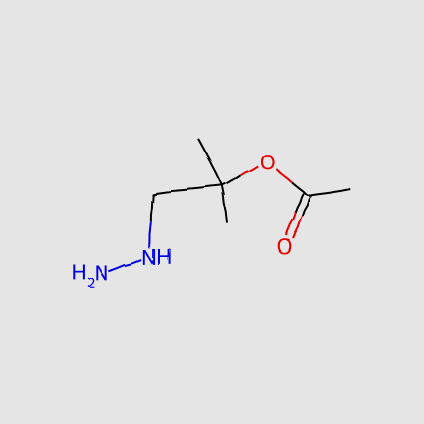 CC(=O)OC(C)(C)CNN